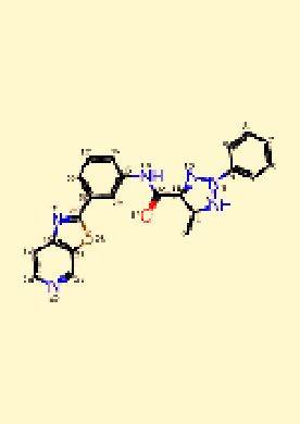 CC1NN(c2ccccc2)N=C1C(=O)Nc1cccc(-c2nc3ccncc3s2)c1